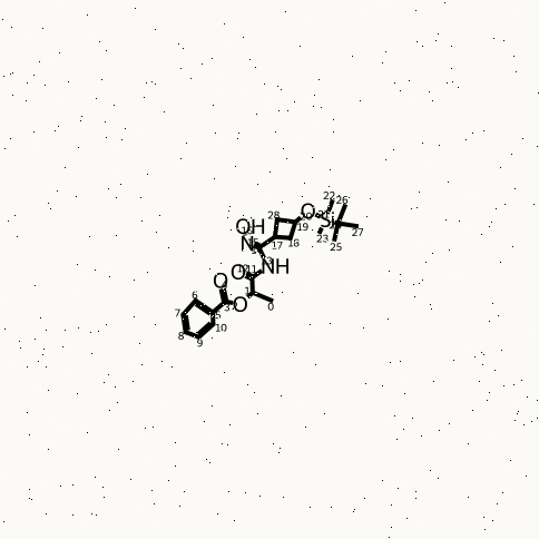 CC(OC(=O)c1ccccc1)C(=O)NC(=NO)C1CC(O[Si](C)(C)C(C)(C)C)C1